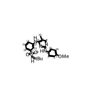 COc1ccc(Nc2ncc(C)c(Nc3cccc(S(=O)(=O)NC(C)(C)C)c3)n2)cc1